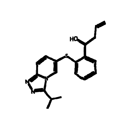 C=CCC(O)c1ccccc1Sc1ccc2nnc(C(C)C)n2c1